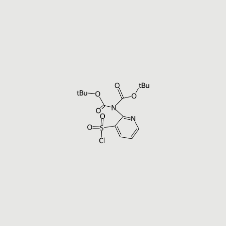 CC(C)(C)OC(=O)N(C(=O)OC(C)(C)C)c1ncccc1S(=O)(=O)Cl